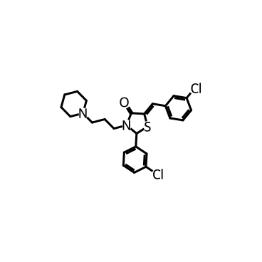 O=C1/C(=C/c2cccc(Cl)c2)SC(c2cccc(Cl)c2)N1CCCN1CCCCC1